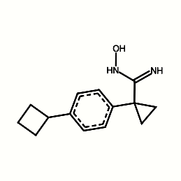 N=C(NO)C1(c2ccc(C3CCC3)cc2)CC1